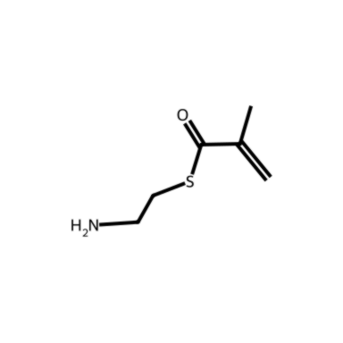 C=C(C)C(=O)SCCN